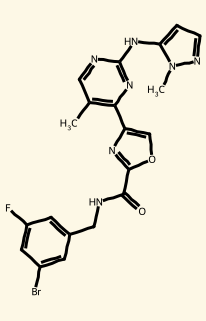 Cc1cnc(Nc2ccnn2C)nc1-c1coc(C(=O)NCc2cc(F)cc(Br)c2)n1